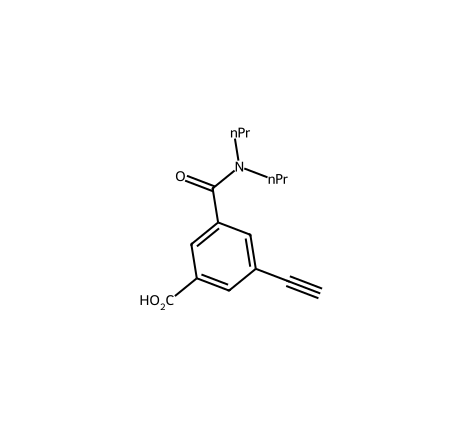 C#Cc1cc(C(=O)O)cc(C(=O)N(CCC)CCC)c1